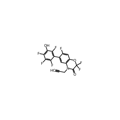 C#CCN1C(=O)C(F)(F)Oc2cc(F)c(-c3c(F)c(O)c(F)c(F)c3F)cc21